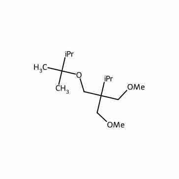 COCC(COC)(COC(C)(C)C(C)C)C(C)C